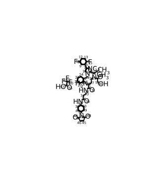 CC(C)(C)[C@H](c1nc(-c2cc(F)ccc2F)cn1Cc1ccccc1)N(CC[C@H](N)C(=O)NCCC(=O)Nc1ccc(N2C(=O)C=CC2=O)cc1)C(=O)CO.O=C(O)C(F)(F)F